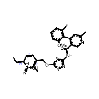 C\C=C(/C=C\C(COc1nnc(NC(=O)c2cnc(C)cc2-c2c(F)cccc2OC)s1)=C(\C)CC)[SH](#N)S